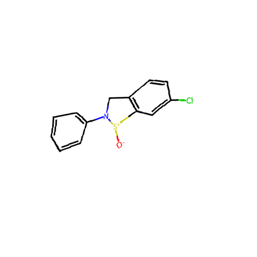 [O-][S+]1c2cc(Cl)ccc2CN1c1ccccc1